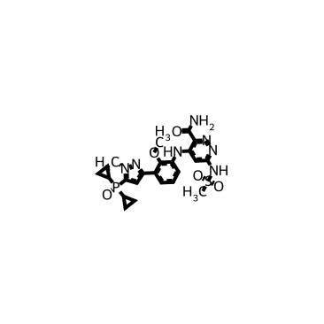 COc1c(Nc2cc(NS(C)(=O)=O)nnc2C(N)=O)cccc1-c1cc(P(=O)(C2CC2)C2CC2)n(C)n1